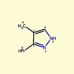 CCCc1n[nH]cc1C